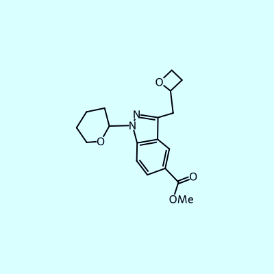 COC(=O)c1ccc2c(c1)c(CC1CCO1)nn2C1CCCCO1